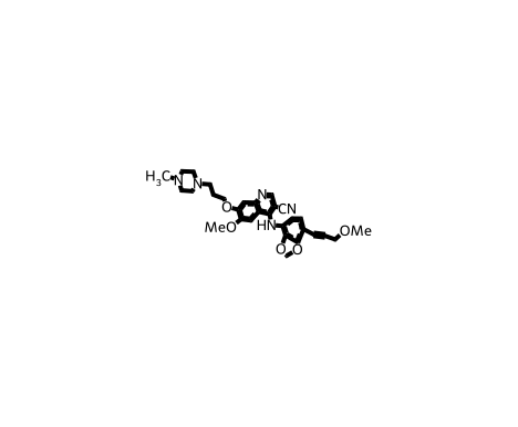 COCC#Cc1ccc(Nc2c(C#N)cnc3cc(OCCCN4CCN(C)CC4)c(OC)cc23)c2c1OCO2